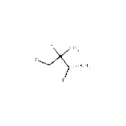 C[C@H](F)C(C)(F)CF